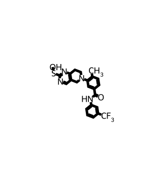 Cc1ccc(C(=O)Nc2cccc(C(F)(F)F)c2)cc1N1CCc2nc(SO)ncc2C1